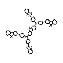 CC1(C)c2ccccc2-c2ccc(-c3ccc(N(c4ccc(-c5nc6ccccc6o5)cc4)c4ccc5c(c4)C(C)(C)c4cc(N(c6ccc(-c7ccc8c(c7)C(C)(C)c7ccccc7-8)cc6)c6ccc(-c7nc8ccccc8o7)cc6)ccc4-5)cc3)cc21